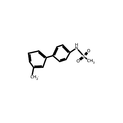 [CH2]c1cccc(-c2ccc(NS(C)(=O)=O)cc2)c1